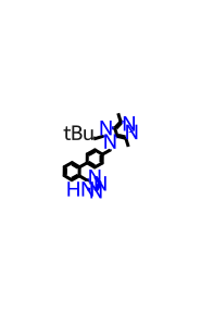 Cc1nnc(C)c2c1nc(CC(C)(C)C)n2Cc1ccc(-c2ccccc2-c2nnn[nH]2)cc1